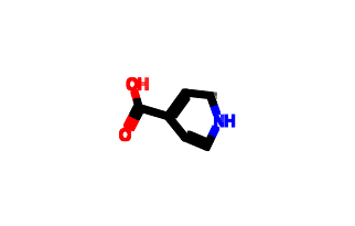 O=C(O)C1=C[C]NC=C1